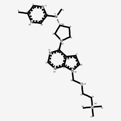 Cc1cnc(N(C)[C@@H]2CCN(c3ncnc4c3ccn4COCC[Si](C)(C)C)C2)cn1